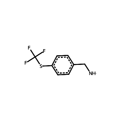 [NH]Cc1ccc(SC(F)(F)F)cc1